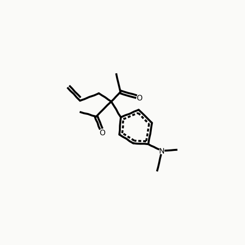 C=CCC(C(C)=O)(C(C)=O)c1ccc(N(C)C)cc1